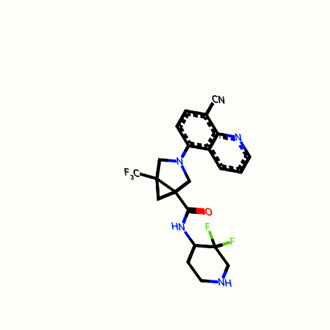 N#Cc1ccc(N2CC3(C(=O)NC4CCNCC4(F)F)CC3(C(F)(F)F)C2)c2cccnc12